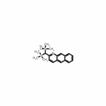 C[Si](C)(C)C(c1ccc2cc3ccccc3cc2n1)[Si](C)(C)C